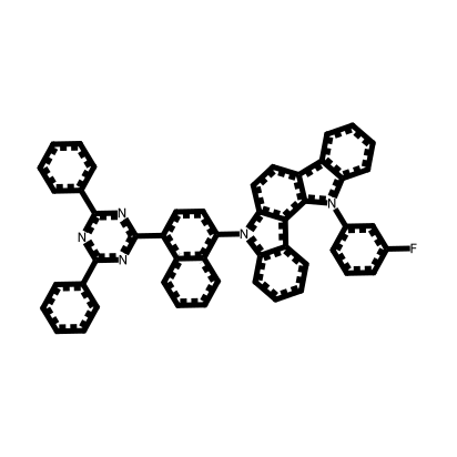 Fc1cccc(-n2c3ccccc3c3ccc4c(c5ccccc5n4-c4ccc(-c5nc(-c6ccccc6)nc(-c6ccccc6)n5)c5ccccc45)c32)c1